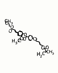 C=C(C)C(=O)OCCCCOc1ccc(C(=O)Oc2ccc(/C=C/C(=O)OCCOC)cc2OC)cc1